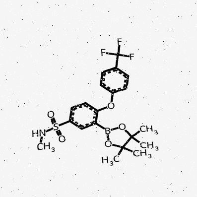 CNS(=O)(=O)c1ccc(Oc2ccc(C(F)(F)F)cc2)c(B2OC(C)(C)C(C)(C)O2)c1